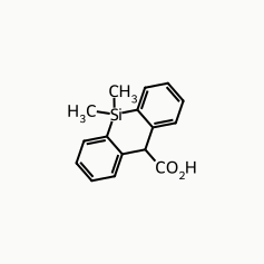 C[Si]1(C)c2ccccc2C(C(=O)O)c2ccccc21